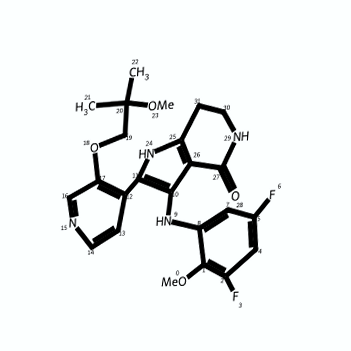 COc1c(F)cc(F)cc1Nc1c(-c2ccncc2OCC(C)(C)OC)[nH]c2c1C(=O)NCC2